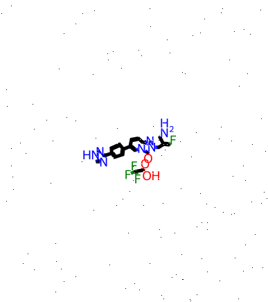 NC/C(=C\F)Cn1nc2ccc(-c3ccc(-c4nc[nH]n4)cc3)cn2c1=O.O=C(O)C(F)(F)F